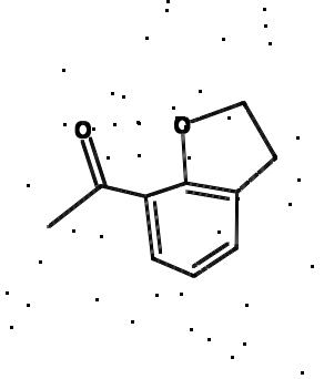 CC(=O)c1cccc2c1OCC2